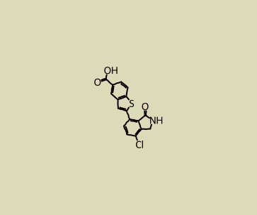 O=C(O)c1ccc2sc(-c3ccc(Cl)c4c3C(=O)NC4)cc2c1